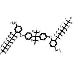 Nc1ccc(Oc2ccc(C(c3ccc(Oc4ccc(N)cc4C(F)(F)C(F)(F)C(F)(F)C(F)(F)C(F)(F)C(F)(F)F)cc3)(C(F)(F)F)C(F)(F)F)cc2)c(C(F)(F)C(F)(F)C(F)(F)C(F)(F)C(F)(F)C(F)(F)F)c1